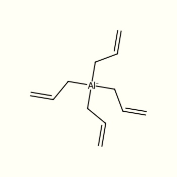 C=C[CH2][Al-]([CH2]C=C)([CH2]C=C)[CH2]C=C